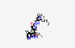 Cc1cc(CNC(=O)c2ccc(C(C)C3(C)C(=O)Nc4ncccc43)cn2)cc(C)n1